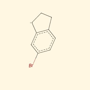 Brc1ccc2c(c1)[CH]CC2